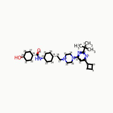 CC(C)(C)c1nc(C2CCC2)cc(N2CCN(CC[C@H]3CC[C@H](NC(=O)[C@H]4CC[C@H](O)CC4)CC3)CC2)n1